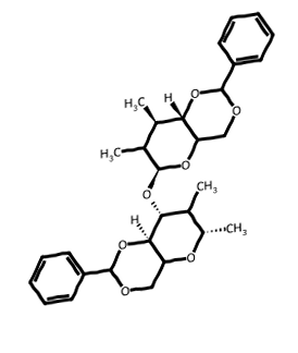 CC1[C@H](O[C@@H]2C(C)[C@H](C)OC3COC(c4ccccc4)O[C@H]32)OC2COC(c3ccccc3)O[C@H]2[C@@H]1C